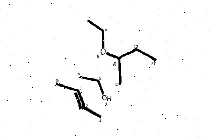 CC=CC.CCO.CCOC(C)CC